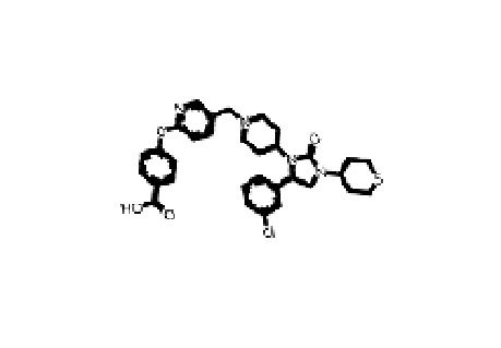 O=C(O)c1ccc(Oc2ccc(CN3CCC(N4C(=O)N(C5CCSCC5)CC4c4cccc(Cl)c4)CC3)cn2)cc1